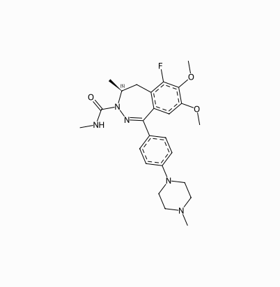 CNC(=O)N1N=C(c2ccc(N3CCN(C)CC3)cc2)c2cc(OC)c(OC)c(F)c2C[C@@H]1C